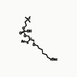 CCCCCCCCCCCCCCCCOC[C@H](COP(=O)(O)OCC[N+](C)(C)C)SC(C)=O